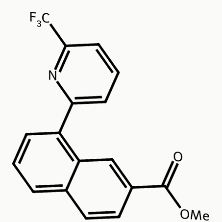 COC(=O)c1ccc2cccc(-c3cccc(C(F)(F)F)n3)c2c1